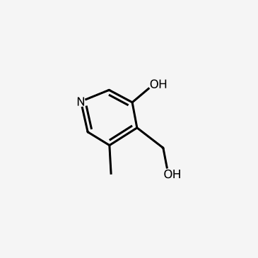 Cc1cncc(O)c1CO